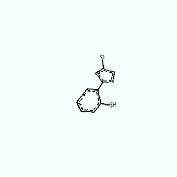 Sc1ccccc1-c1cc(Cl)cs1